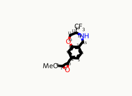 COC1OC1c1ccc2c(c1)OC[C@H](C(F)(F)F)NC2